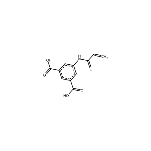 C=CC(=O)Nc1cc(C(=O)O)cc(C(=O)O)c1